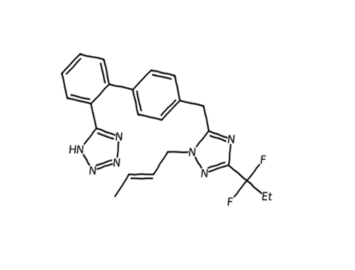 CC=CCn1nc(C(F)(F)CC)nc1Cc1ccc(-c2ccccc2-c2nnn[nH]2)cc1